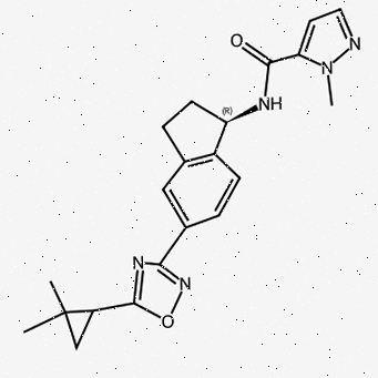 Cn1nccc1C(=O)N[C@@H]1CCc2cc(-c3noc(C4CC4(C)C)n3)ccc21